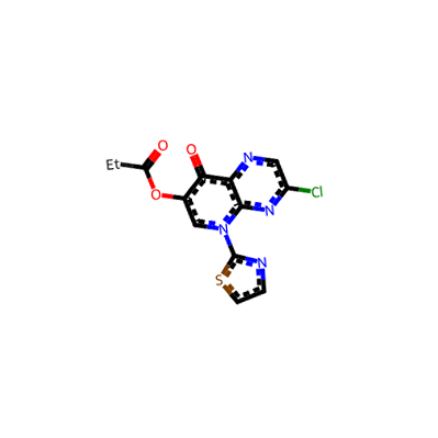 CCC(=O)Oc1cn(-c2nccs2)c2nc(Cl)cnc2c1=O